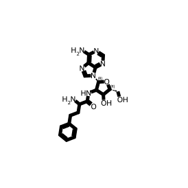 Nc1ncnc2c1ncn2[C@@H]1O[C@H](CO)C(O)C1NC(=O)C(N)CCc1ccccc1